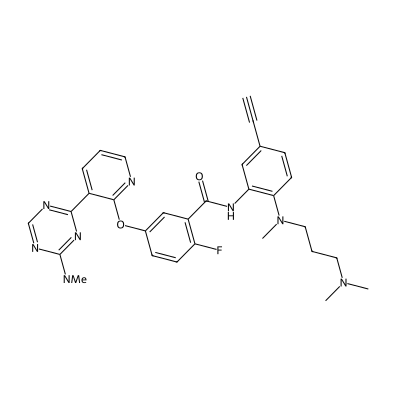 C#Cc1ccc(N(C)CCCN(C)C)c(NC(=O)c2cc(Oc3ncccc3-c3ncnc(NC)n3)ccc2F)c1